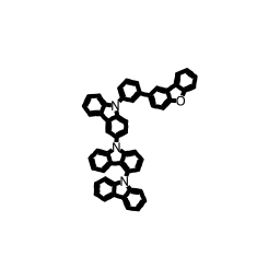 c1cc(-c2ccc3oc4ccccc4c3c2)cc(-n2c3ccccc3c3cc(-n4c5ccccc5c5c(-n6c7ccccc7c7ccccc76)cccc54)ccc32)c1